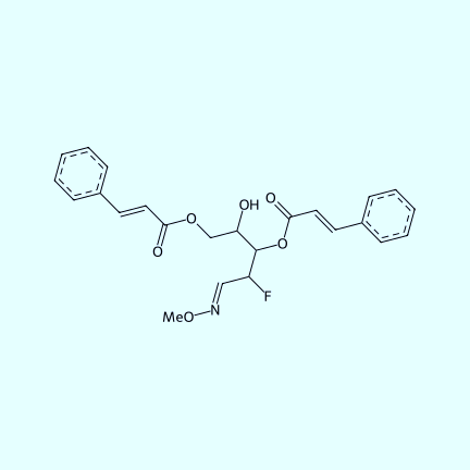 CON=CC(F)C(OC(=O)C=Cc1ccccc1)C(O)COC(=O)C=Cc1ccccc1